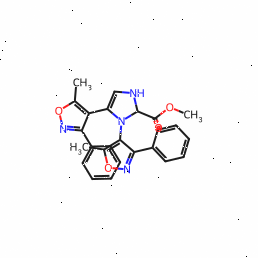 COC(=O)C1NC=C(c2c(-c3ccccc3)noc2C)N1c1c(-c2ccccc2)noc1C